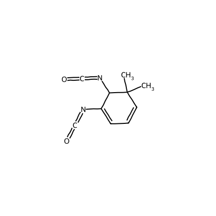 CC1(C)C=CC=C(N=C=O)C1N=C=O